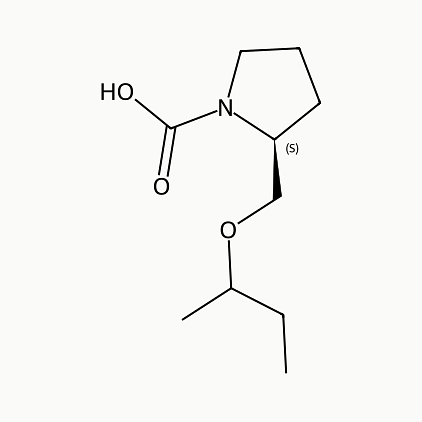 CCC(C)OC[C@@H]1CCCN1C(=O)O